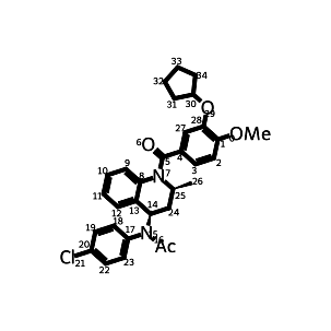 COc1ccc(C(=O)N2c3ccccc3[C@H](N(C(C)=O)c3ccc(Cl)cc3)C[C@@H]2C)cc1OC1CCCC1